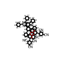 N#Cc1cc(C#N)c(-c2ccc3c(c2)c2cc(-c4c(C#N)cc(C#N)cc4C#N)ccc2n3-c2c(-c3ccccc3-n3c4ccccc4c4ccccc43)cc(-c3cc(-c4ccccc4)nc(-c4ccccc4)n3)cc2-c2ccccc2-n2c3ccccc3c3ccccc32)c(C#N)c1